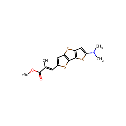 CN(C)c1cc2sc3cc(/C=C(\C#N)C(=O)OC(C)(C)C)sc3c2s1